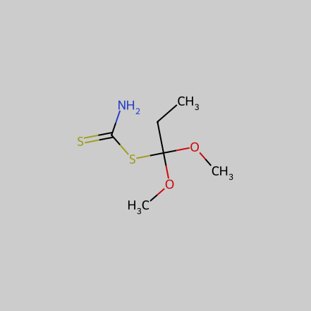 CCC(OC)(OC)SC(N)=S